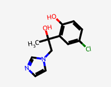 CC(O)(Cn1ccnc1)c1cc(Cl)ccc1O